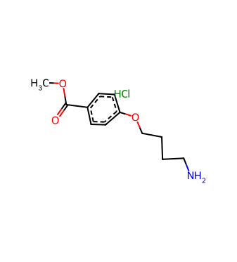 COC(=O)c1ccc(OCCCCN)cc1.Cl